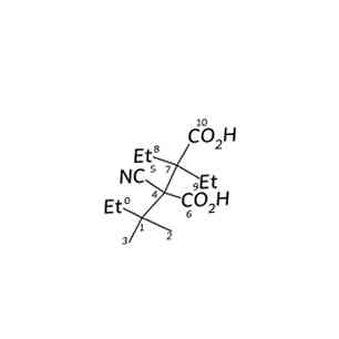 CCC(C)(C)C(C#N)(C(=O)O)C(CC)(CC)C(=O)O